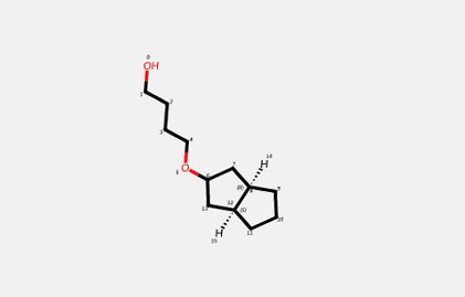 OCCCCOC1C[C@H]2CCC[C@H]2C1